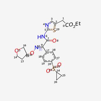 CCOC(=O)Cc1cnc(NC(=O)/C(=N/O[C@@H]2CCOC2)c2ccc(S(=O)(=O)C3CC3)cc2)s1